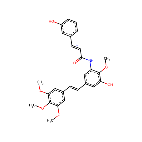 COc1cc(C=Cc2cc(O)c(OC)c(NC(=O)/C=C/c3cccc(O)c3)c2)cc(OC)c1OC